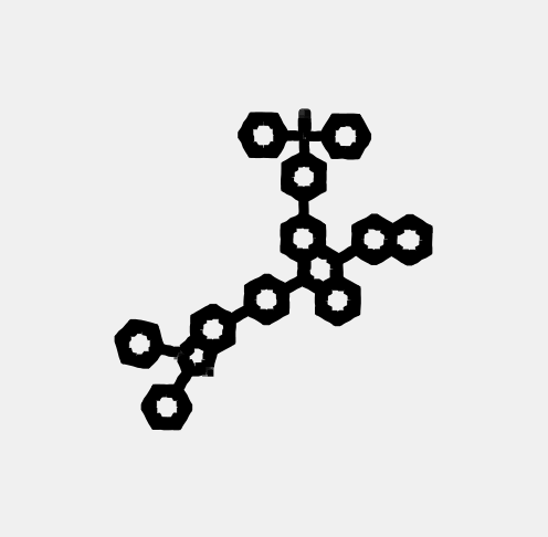 O=P(c1ccccc1)(c1ccccc1)c1ccc(-c2ccc3c(-c4ccc(-c5ccc6c(c5)nc(-c5ccccc5)n6-c5ccccc5)cc4)c4ccccc4c(-c4ccc5ccccc5c4)c3c2)cc1